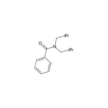 CC(C)CN(CC(C)C)C(=O)c1[c]cccc1